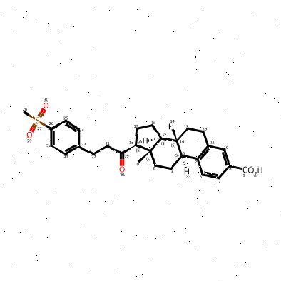 C[C@]12CC[C@@H]3c4ccc(C(=O)O)cc4CC[C@H]3[C@@H]1CC[C@@H]2C(=O)CCc1ccc(S(C)(=O)=O)cc1